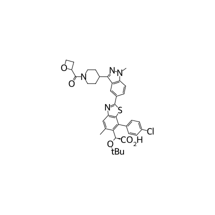 Cc1cc2nc(-c3ccc4c(c3)c(C3CCN(C(=O)C5CCO5)CC3)nn4C)sc2c(-c2ccc(Cl)cc2)c1[C@H](OC(C)(C)C)C(=O)O